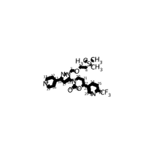 C[Si](C)(C)CCOCn1nc(-c2ccncc2)cc1N1CCC(c2ccc(C(F)(F)F)nc2)OC1=O